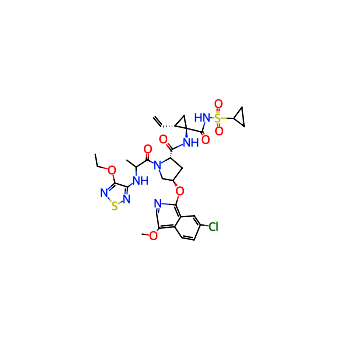 C=C[C@@H]1C[C@]1(NC(=O)[C@@H]1C[C@@H](Oc2ncc(OC)c3ccc(Cl)cc23)CN1C(=O)C(C)Nc1nsnc1OCC)C(=O)NS(=O)(=O)C1CC1